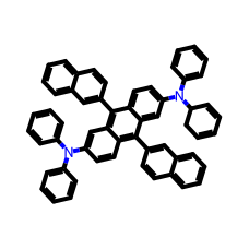 C1=CCC(N(c2ccccc2)c2ccc3c(-c4ccc5ccccc5c4)c4cc(N(c5ccccc5)c5ccccc5)ccc4c(-c4ccc5ccccc5c4)c3c2)C=C1